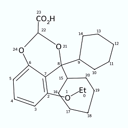 CCOc1cccc2c1C(C1CCCCC1)(C1CCCCC1)OC(C(=O)O)O2